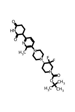 Cc1nc(C2CCC(=O)NC2=O)ccc1N1CCN([C@H]2CCN(C(=O)OC(C)(C)C)CC2(F)F)CC1